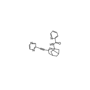 O=C(NC12CC3CC(CC(C#Cc4cnccn4)(C3)C1)C2)c1ccccn1